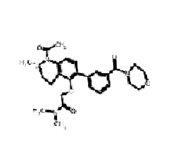 CC(=O)N1c2ccc(-c3cccc(C(=O)N4CCOCC4)c3)c(OCC(=O)N(C)C)c2CC[C@@H]1C